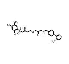 Cc1cc(S(=O)(=O)CNCCOCC(=O)CNCc2ccc(C3=NCCN3C(=O)O)cc2)c(Cl)cc1Cl